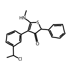 CNC1=C(c2cccc(C(C)Cl)c2)C(=O)C(c2ccccc2)S1